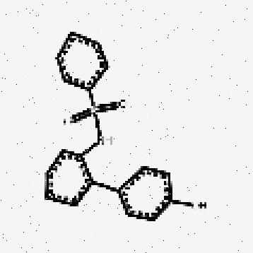 O=S(=O)(Nc1ccccc1-c1ccc(O)cc1)c1ccccc1